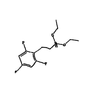 CCO[SiH](CCc1c(F)cc(F)cc1F)OCC